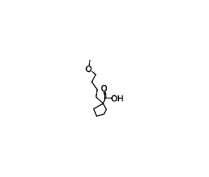 COCCCCC1(C(=O)O)CCCC1